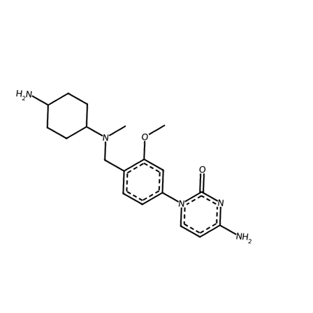 COc1cc(-n2ccc(N)nc2=O)ccc1CN(C)C1CCC(N)CC1